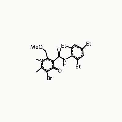 CCc1cc(CC)c(NC(=O)c2c(COC)n(C)c(C)c(Br)c2=O)c(CC)c1